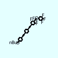 CCCCOc1ccc(C#Cc2ccc(C#Cc3cc(F)c(C(F)(F)Oc4cc(F)c(F)c(F)c4)c(F)c3)cc2)cc1